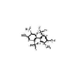 Cc1cc(-c2cc(C)c(O)cc2C(F)(F)F)c(C(F)(F)F)cc1O